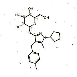 Cc1ccc(Cc2c(O[C@@H]3O[C@H](CO)[C@@H](O)[C@H](O)[C@H]3O)nn(C3CCOC3)c2C)cc1